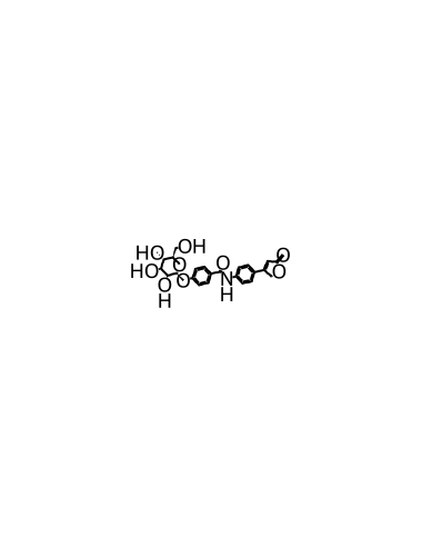 O=C1C=C(c2ccc(NC(=O)c3ccc(O[C@@H]4O[C@H](CO)[C@@H](O)[C@H](O)[C@H]4O)cc3)cc2)CO1